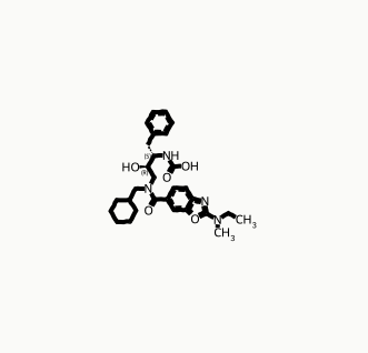 CCN(C)c1nc2ccc(C(=O)N(CC3CCCCC3)C[C@@H](O)[C@H](Cc3ccccc3)NC(=O)O)cc2o1